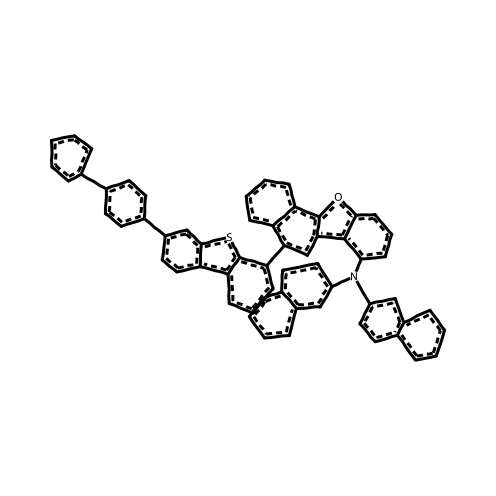 c1ccc(-c2ccc(-c3ccc4c(c3)sc3c(-c5cc6c(oc7cccc(N(c8ccc9ccccc9c8)c8ccc9ccccc9c8)c76)c6ccccc56)cccc34)cc2)cc1